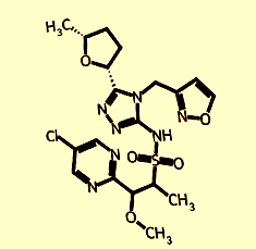 COC(c1ncc(Cl)cn1)C(C)S(=O)(=O)Nc1nnc([C@H]2CC[C@@H](C)O2)n1Cc1ccon1